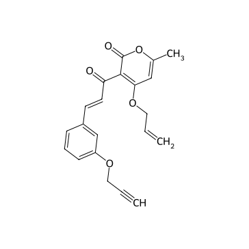 C#CCOc1cccc(/C=C/C(=O)c2c(OCC=C)cc(C)oc2=O)c1